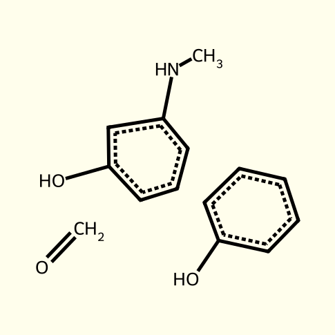 C=O.CNc1cccc(O)c1.Oc1ccccc1